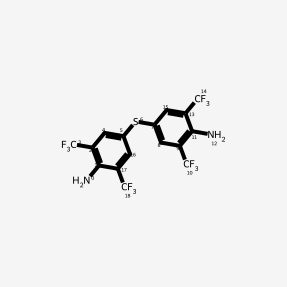 Nc1c(C(F)(F)F)cc(Sc2cc(C(F)(F)F)c(N)c(C(F)(F)F)c2)cc1C(F)(F)F